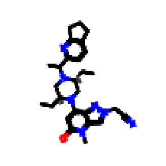 CC[C@H]1CN(C(C)c2ccc3c(n2)CCC3)[C@H](CC)CN1c1cc(=O)n(C)c2cn(CC#N)nc12